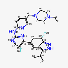 CCN1CCN(Cc2ccc(Nc3ncc(F)c(-c4cc(F)c5n[nH]c(C(C)C)c5c4)n3)nc2)CC1